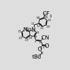 CC(C)(C)COC(=O)/C(C#N)=C/c1cn(Cc2cccc(C(F)(F)F)c2)c2ncccc12